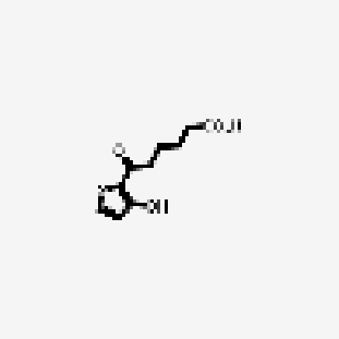 O=C(O)CCCCC(=O)c1sccc1O